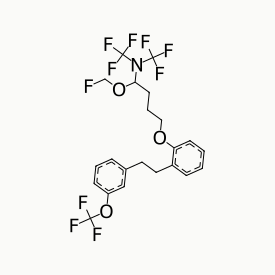 FCOC(CCCOc1ccccc1CCc1cccc(OC(F)(F)F)c1)N(C(F)(F)F)C(F)(F)F